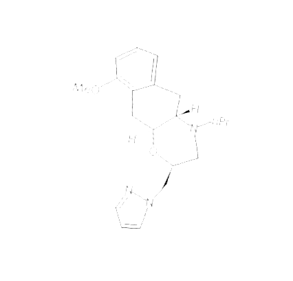 CCCN1C[C@@H](Cn2cccn2)O[C@H]2Cc3c(cccc3OC)C[C@@H]21